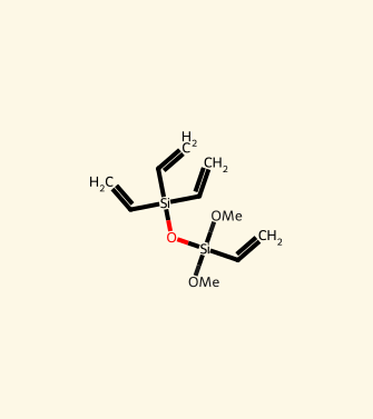 C=C[Si](C=C)(C=C)O[Si](C=C)(OC)OC